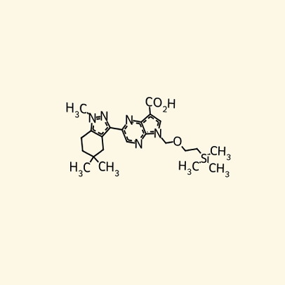 Cn1nc(-c2cnc3c(n2)c(C(=O)O)cn3COCC[Si](C)(C)C)c2c1CCC(C)(C)C2